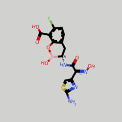 Nc1nc(/C(=N/O)C(=O)N[C@H]2Cc3ccc(F)c(C(=O)O)c3OB2O)cs1